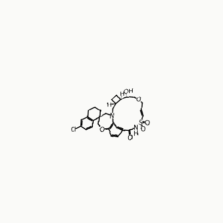 O=C1NS(=O)(=O)/C=C/COC[C@@H](O)[C@@H]2CC[C@H]2CN2C[C@@]3(CCCc4cc(Cl)ccc43)COc3ccc1cc32